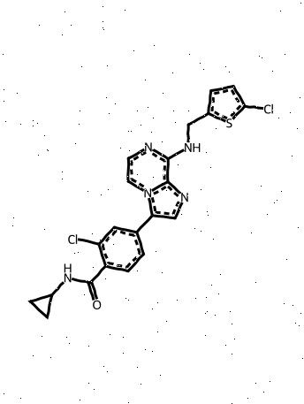 O=C(NC1CC1)c1ccc(-c2cnc3c(NCc4ccc(Cl)s4)nccn23)cc1Cl